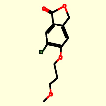 COCCCOc1cc2c(cc1Cl)C(=O)OC2